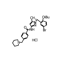 Cc1cc(NC(=O)c2ccc(CN3CCCCC3)cc2)nn1Cc1cc(Br)ccc1OCC(C)C.Cl